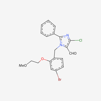 COCCOc1cc(Br)ccc1Cn1c(-c2ccccc2)nc(Cl)c1C=O